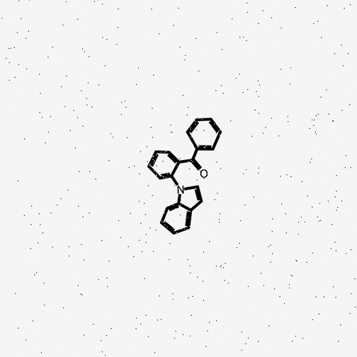 O=C(c1ccccc1)c1ccccc1-n1ccc2ccccc21